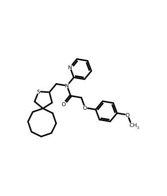 COc1ccc(OCC(=O)N(CC2CC3(CCCCCCC3)CS2)c2ccccn2)cc1